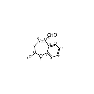 O=CC1=NCC(F)Oc2ccccc21